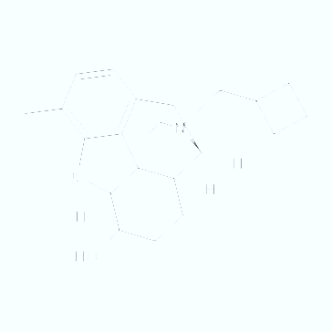 Cc1ccc2c3c1O[C@@H]1C(O)CC[C@@H]4[C@H](C2)N(CC2CCC2)CC[C@@]314